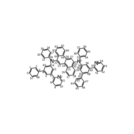 c1ccc(-c2cc(-c3ccccn3)cc(N(c3ccccc3)c3cc4c5ccccc5c(N(c5ccccc5)c5cc(-c6ccccc6)cc(-c6ccccn6)c5)cc4c4ccccc34)c2)cc1